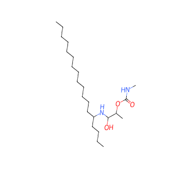 CCCCCCCCCCCCCC(CCCC)NC(O)C(C)OC(=O)NC